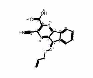 C=CCO/N=C1/c2ccccc2-c2nc(C(=O)O)c(C#N)nc21